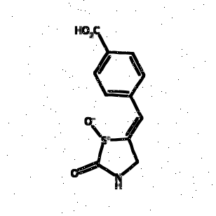 O=C(O)c1ccc(C=C2CNC(=O)[S+]2[O-])cc1